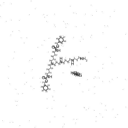 Cl.Cl.Cl.Cl.NCCCNCCCCNCCCN(CCCCCNC(=O)OCc1ccccc1)CCCCCNC(=O)OCc1ccccc1